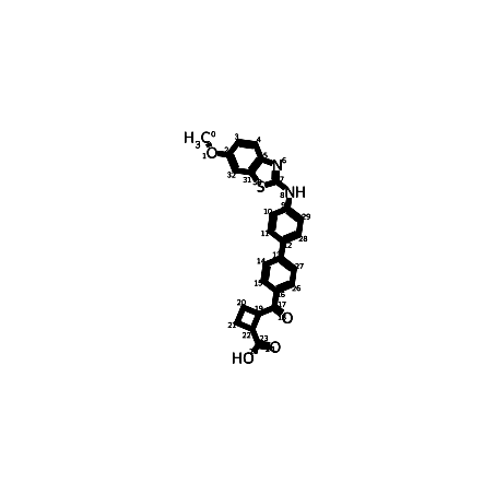 COc1ccc2nc(Nc3ccc(-c4ccc(C(=O)C5CCC5C(=O)O)cc4)cc3)sc2c1